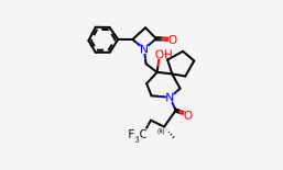 C[C@H](CC(F)(F)F)C(=O)N1CCC(O)(CN2C(=O)CC2c2ccccc2)C2(CCCC2)C1